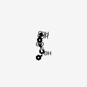 O=P(O)(O)Oc1ccc(S(=O)(=O)CCN2CC[C@H](Cc3ccccc3)[C@H](O)C2)cc1